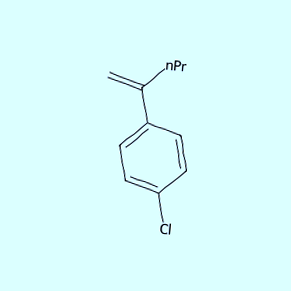 C=C(CCC)c1ccc(Cl)cc1